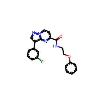 O=C(NCCOc1ccccc1)c1ccn2ncc(-c3cccc(Cl)c3)c2n1